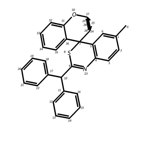 Cc1ccc2c(c1)C1(SC(C(c3ccccc3)c3ccccc3)=N2)c2ccccc2Oc2ccccc21